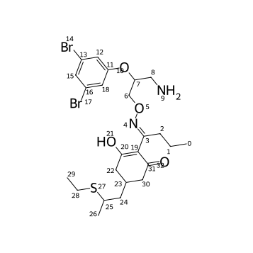 CCC/C(=N\OCC(CN)Oc1cc(Br)cc(Br)c1)C1=C(O)CC(CC(C)SCC)CC1=O